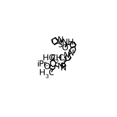 CC1CC2(Cn3cc(-c4ccc(N5CCc6cccc(C(=O)Nc7nc8ccccc8s7)c6C5)nc4C(=O)O)cn3)CC(C)CC(OC(C)C)(C1)C2